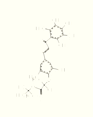 Cc1cc(C=CC(=O)c2c(C)c(C)c(C)c(C)c2C)cc(C)c1OC(C)(C)C(=O)OC(C)(C)C